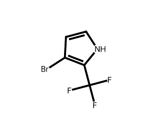 FC(F)(F)c1[nH]ccc1Br